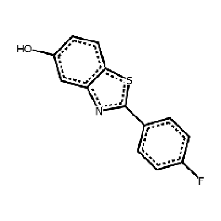 Oc1ccc2sc(-c3ccc(F)cc3)nc2c1